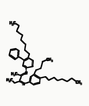 CCCCCCCCc1ccc(N=C(CC)C(C)=Nc2ccc(CCCCCCCC)c(-c3ccccc3)c2)cc1CCCC